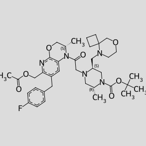 CC(=O)OCc1nc2c(cc1Cc1ccc(F)cc1)N(C(=O)CN1C[C@@H](C)N(C(=O)OC(C)(C)C)C[C@@H]1CN1CCOCC13CCC3)[C@@H](C)CO2